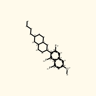 CCCCC1CCC2CC(c3c(F)cc4cc(OC)cc(F)c4c3F)CCC2C1